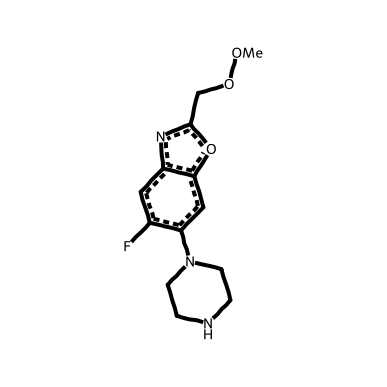 COOCc1nc2cc(F)c(N3CCNCC3)cc2o1